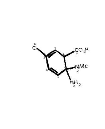 CNC1(N)C=CC(Cl)=CC1C(=O)O